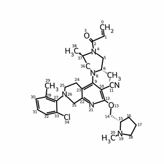 C=CC(=O)N1C[C@H](C)N(c2c(C#N)c(OC[C@@H]3CCCN3C)nc3c2CCN(c2c(C)cccc2Cl)C3)C[C@H]1C